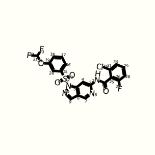 O=C(Nc1cc2c(cn1)cnn2S(=O)(=O)c1cccc(OC(F)F)c1)c1c(F)cccc1Cl